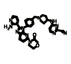 N#Cc1nccc(NC2CCN(Cc3ccc(-n4c(-c5cccnc5N)nc5ccc(N6CCOCC6=O)nc54)cc3)CC2)n1